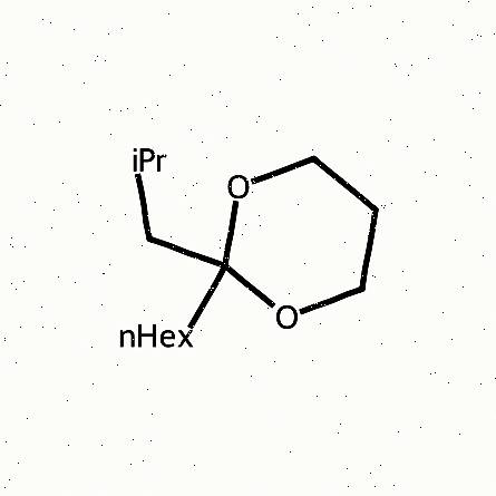 CCCCCCC1(CC(C)C)OCCCO1